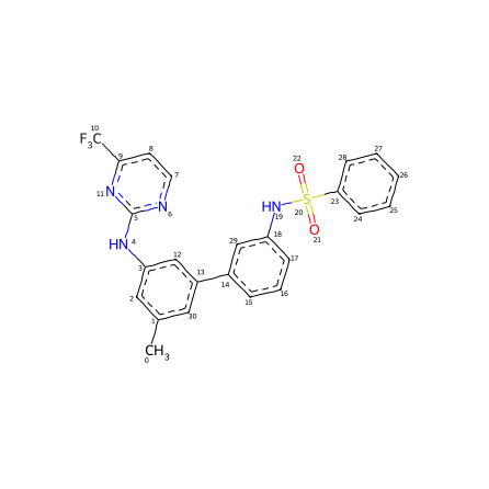 Cc1cc(Nc2nccc(C(F)(F)F)n2)cc(-c2cccc(NS(=O)(=O)c3ccccc3)c2)c1